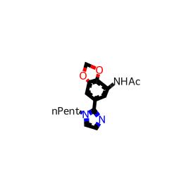 CCCCCn1ccnc1-c1cc(NC(C)=O)c2c(c1)OCO2